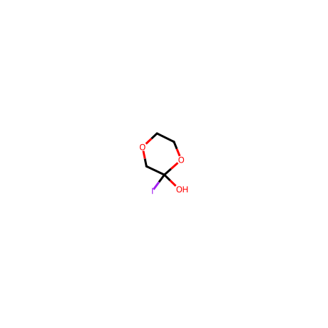 OC1(I)COCCO1